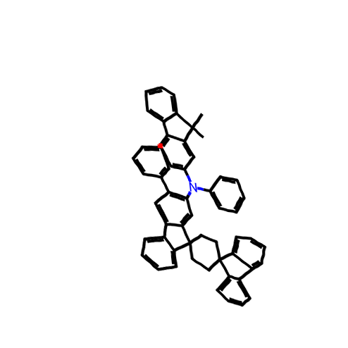 CC1(C)c2ccccc2-c2ccc(N(c3ccccc3)c3cc4c(cc3-c3ccccc3)-c3ccccc3C43CCC4(CC3)c3ccccc3-c3ccccc34)cc21